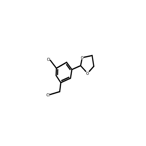 ClCc1cc(Cl)cc(C2OCCO2)c1